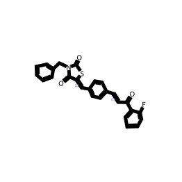 O=C(/C=C/c1ccc(/C=C2\SC(=O)N(Cc3ccccc3)C2=O)cc1)c1ccccc1F